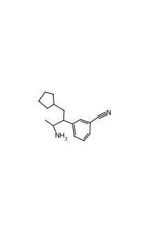 CC(N)C(CC1CCCC1)c1cccc(C#N)c1